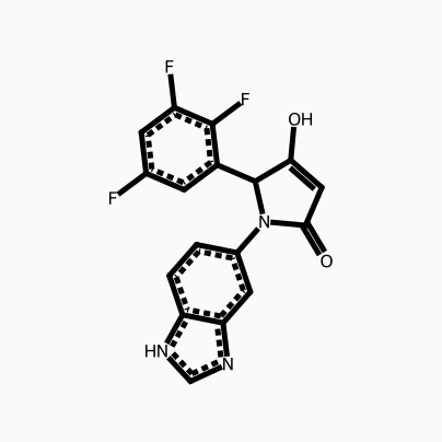 O=C1C=C(O)C(c2cc(F)cc(F)c2F)N1c1ccc2[nH]cnc2c1